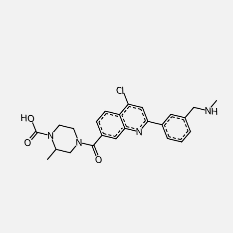 CNCc1cccc(-c2cc(Cl)c3ccc(C(=O)N4CCN(C(=O)O)C(C)C4)cc3n2)c1